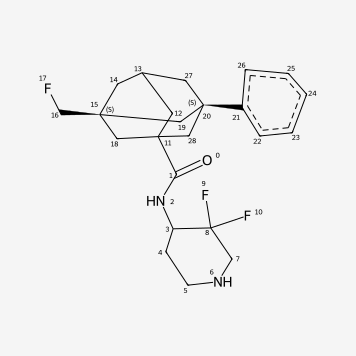 O=C(NC1CCNCC1(F)F)C12CC3C[C@@](CF)(C1)C[C@](c1ccccc1)(C3)C2